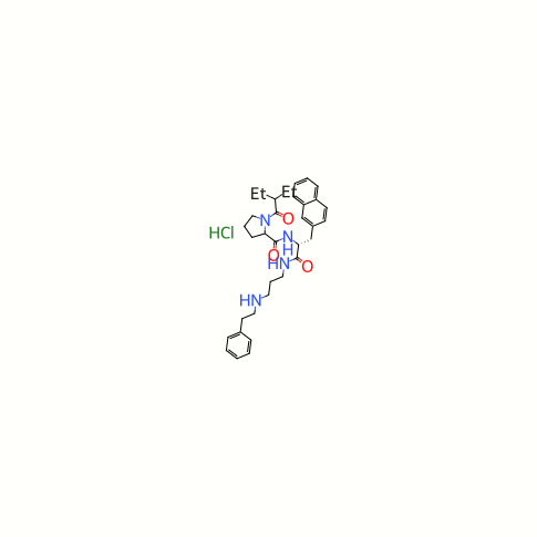 CCC(CC)C(=O)N1CCCC1C(=O)N[C@H](Cc1ccc2ccccc2c1)C(=O)NCCCNCCc1ccccc1.Cl